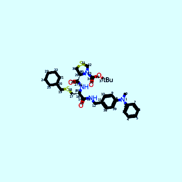 CN(c1ccccc1)c1ccc(CNC(=O)[C@H](CSCC2CCCCC2)NC(=O)[C@@H]2CSCN2C(=O)OC(C)(C)C)cc1